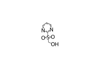 O=S(=O)(CO)c1ncccn1